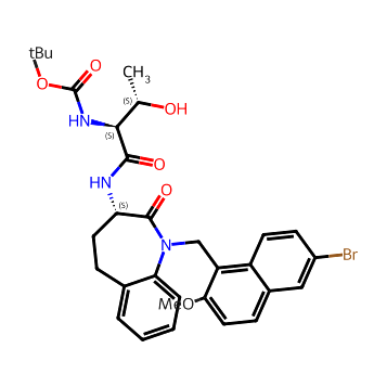 COc1ccc2cc(Br)ccc2c1CN1C(=O)[C@@H](NC(=O)[C@@H](NC(=O)OC(C)(C)C)[C@H](C)O)CCc2ccccc21